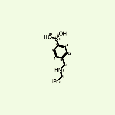 CC(C)CNCc1ccc(B(O)O)cc1